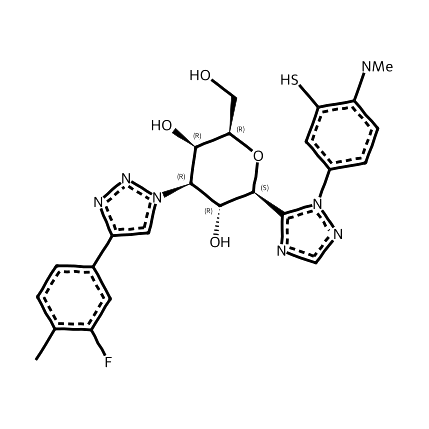 CNc1ccc(-n2ncnc2[C@@H]2O[C@H](CO)[C@H](O)[C@H](n3cc(-c4ccc(C)c(F)c4)nn3)[C@H]2O)cc1S